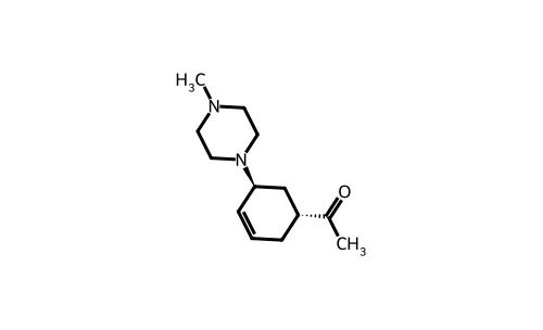 CC(=O)[C@@H]1CC=C[C@@H](N2CCN(C)CC2)C1